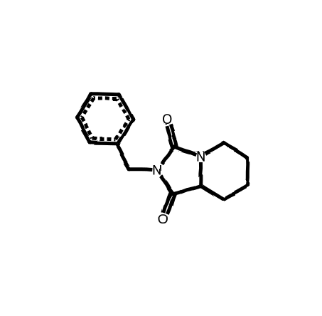 O=C1C2CCCCN2C(=O)N1Cc1ccccc1